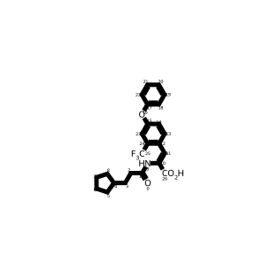 O=C(CCC1CCCC1)NC(=Cc1ccc(Oc2ccccc2)cc1C(F)(F)F)C(=O)O